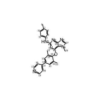 Cc1ccc(Nc2nc(Oc3c(C)cc(-c4ccncc4)cc3C)c3c(ncn3C)n2)cc1